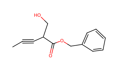 CC#CC(CO)C(=O)OCc1ccccc1